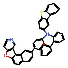 c1ccc(-c2ccccc2N(c2ccc(-c3ccc4ccc5oc6ccncc6c5c4c3)cc2)c2ccc3sc4ccccc4c3c2)cc1